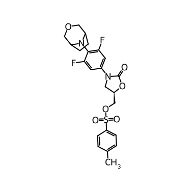 Cc1ccc(S(=O)(=O)OC[C@H]2CN(c3cc(F)c(N4C5CCC4COC5)c(F)c3)C(=O)O2)cc1